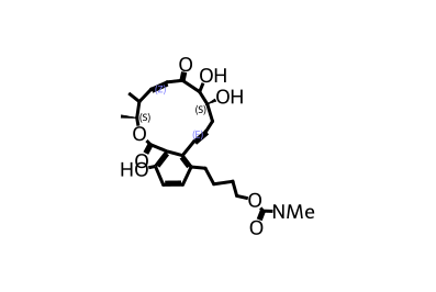 CNC(=O)OCCCCc1ccc(O)c2c1/C=C/C[C@H](O)C(O)C(=O)/C=C\C(C)[C@H](C)OC2=O